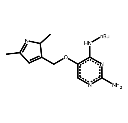 CCCCNc1nc(N)ncc1OCC1=CC(C)=NC1C